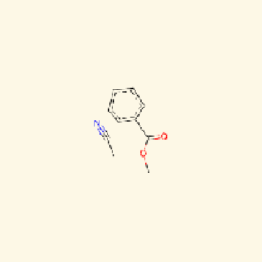 CC#N.COC(=O)c1ccccc1